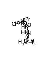 CCCc1nc(-c2ccc(Cl)cc2)nc2cc(C(=O)NCCCc3nc(COCC[Si](C)(C)C)c[nH]3)ccc12